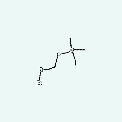 CCOCO[Si](C)(C)C